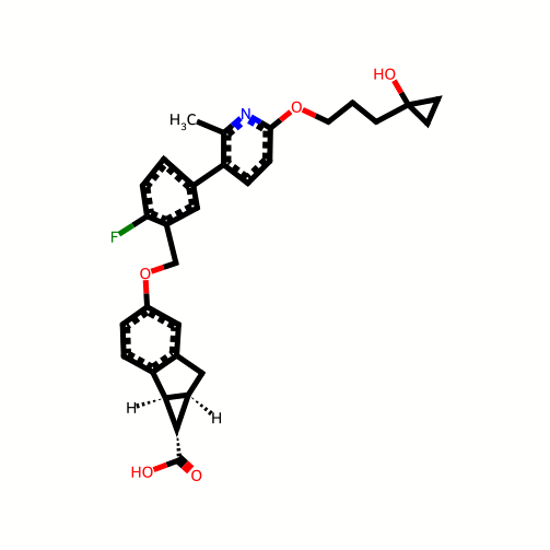 Cc1nc(OCCCC2(O)CC2)ccc1-c1ccc(F)c(COc2ccc3c(c2)C[C@H]2[C@H](C(=O)O)[C@@H]32)c1